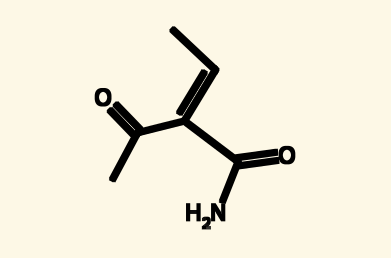 C/C=C(\C(C)=O)C(N)=O